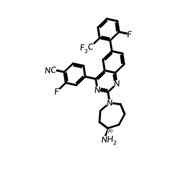 N#Cc1ccc(-c2nc(N3CCC[C@@H](N)CC3)nc3ccc(-c4c(F)cccc4C(F)(F)F)cc23)cc1F